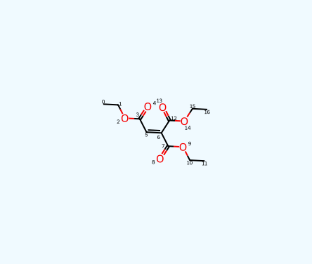 CCOC(=O)C=C(C(=O)OCC)C(=O)OCC